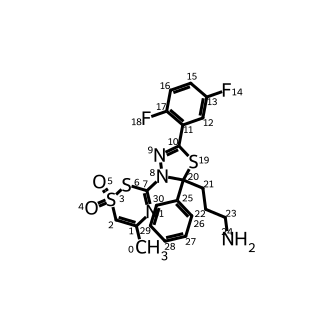 CC1=CS(=O)(=O)SC(N2N=C(c3cc(F)ccc3F)SC2(CCCN)c2ccccc2)=N1